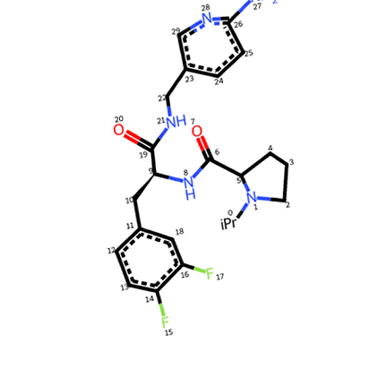 CC(C)N1CCCC1C(=O)N[C@@H](Cc1ccc(F)c(F)c1)C(=O)NCc1ccc(N)nc1